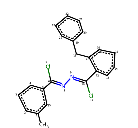 Cc1cccc(C(Cl)=NN=C(Cl)c2ccccc2Cc2ccccc2)c1